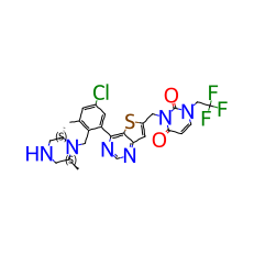 Cc1cc(Cl)cc(-c2ncnc3cc(Cn4c(=O)ccn(CC(F)(F)F)c4=O)sc23)c1CN1[C@@H](C)CNC[C@@H]1C